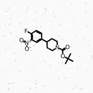 CC(C)(C)OC(=O)N1CCC(c2ccc(F)c([N+](=O)[O-])c2)CC1